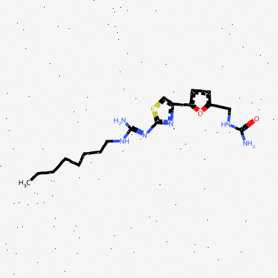 CCCCCCCCN/C(N)=N/c1nc(-c2ccc(CNC(N)=O)o2)cs1